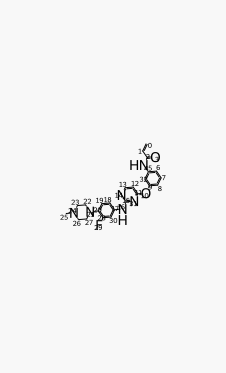 C=CC(=O)Nc1cccc(Oc2ccnc(Nc3ccc(N4CCN(C)CC4)c(F)c3)n2)c1